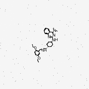 CCOc1ccc(OCC)c(CNCC[C@H]2CC[C@@H](Nc3nc(N(C)C)c4ccccc4n3)CC2)c1